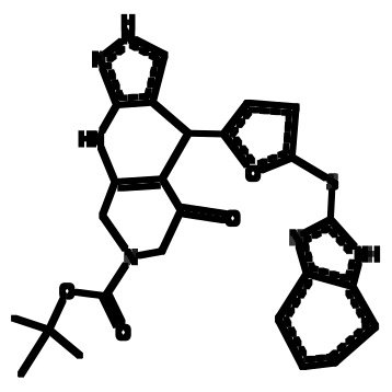 CC(C)(C)OC(=O)N1CC(=O)C2=C(C1)Nc1n[nH]cc1C2c1ccc(Sc2nc3ccccc3[nH]2)o1